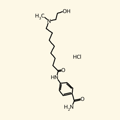 CN(CCO)CCCCCCCC(=O)Nc1ccc(C(N)=O)cc1.Cl